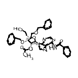 CC(=O)O[C@H]1[C@H](n2cnc3c(NC(=O)c4ccccc4)ncnc32)O[C@](CCO)(COCc2ccccc2)[C@H]1OCc1ccccc1